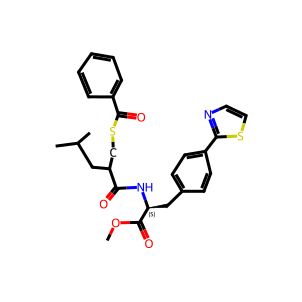 COC(=O)[C@H](Cc1ccc(-c2nccs2)cc1)NC(=O)C(CSC(=O)c1ccccc1)CC(C)C